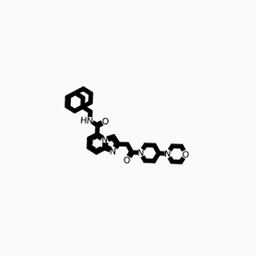 O=C(NCC12CC=CC(CCC1)C2)c1cccc2nc(CC(=O)N3CCC(N4CCOCC4)CC3)cn12